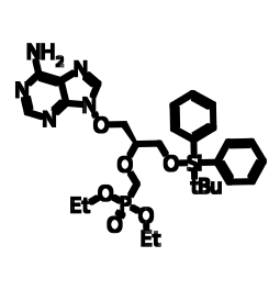 CCOP(=O)(CO[C@@H](COn1cnc2c(N)ncnc21)CO[Si](c1ccccc1)(c1ccccc1)C(C)(C)C)OCC